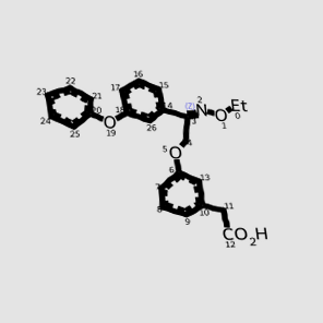 CCO/N=C(\COc1cccc(CC(=O)O)c1)c1cccc(Oc2ccccc2)c1